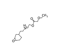 CCOCC(=O)OCC[SiH2]CCC1CCC2OC2C1